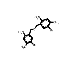 Cc1cc([N+](=O)[O-])c(COCc2cc(Br)c(C)cc2[N+](=O)[O-])cc1Br